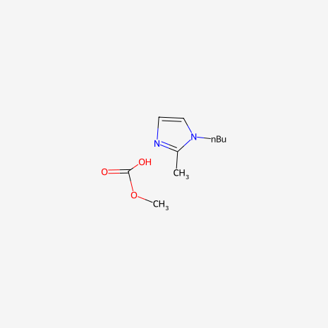 CCCCn1ccnc1C.COC(=O)O